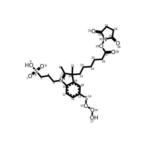 CC1=[N+](CCCS(=O)(=O)O)c2ccc(SOOO)cc2C1(C)CCCCCC(=O)ON1C(=O)CCC1=O